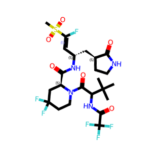 CC(C)(C)C(NC(=O)C(F)(F)F)C(=O)N1CCC(F)(F)C[C@H]1C(=O)N[C@H](/C=C(\F)S(C)(=O)=O)C[C@@H]1CCNC1=O